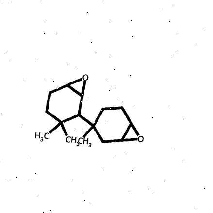 CC1(C)CCC2OC2C1C1(C)CCC2OC2C1